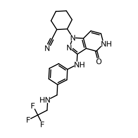 N#CC1CCCCC1n1nc(Nc2cccc(CNCC(F)(F)F)c2)c2c(=O)[nH]ccc21